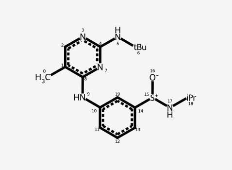 Cc1cnc(NC(C)(C)C)nc1Nc1cccc([S+]([O-])NC(C)C)c1